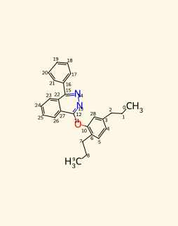 CCCc1ccc(CCC)c(Oc2nnc(-c3ccccc3)c3ccccc23)c1